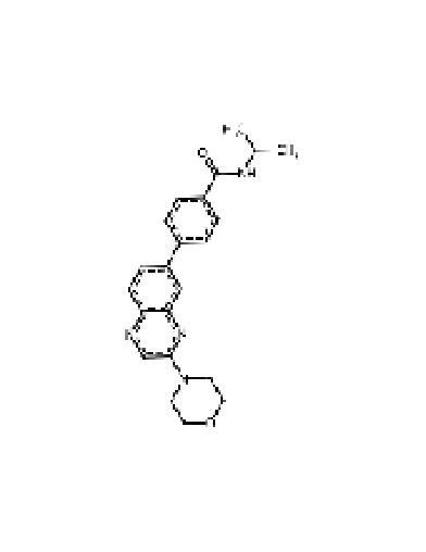 CC(C)NC(=O)c1ccc(-c2ccc3ncc(N4CCOCC4)nc3c2)cc1